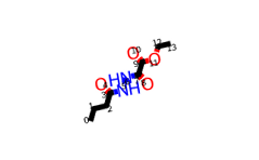 CCCC(=O)NNC(=O)C(=O)OCC